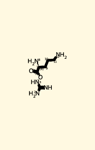 N=C(N)NOC(=O)[C@H](N)CCCN